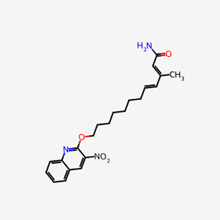 CC(C=CCCCCCCCOc1nc2ccccc2cc1[N+](=O)[O-])=CC(N)=O